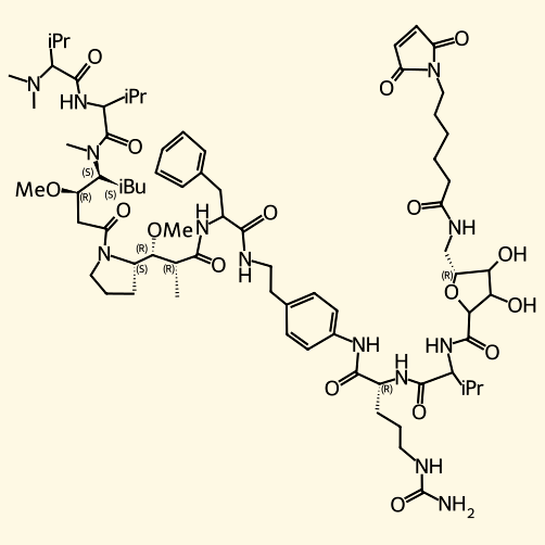 CC[C@H](C)[C@@H]([C@@H](CC(=O)N1CCC[C@H]1[C@H](OC)[C@@H](C)C(=O)NC(Cc1ccccc1)C(=O)NCCc1ccc(NC(=O)[C@@H](CCCNC(N)=O)NC(=O)C(NC(=O)C2O[C@H](CNC(=O)CCCCCN3C(=O)C=CC3=O)C(O)C2O)C(C)C)cc1)OC)N(C)C(=O)C(NC(=O)C(C(C)C)N(C)C)C(C)C